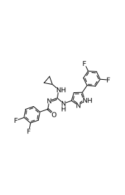 O=C(/N=C(\Nc1cc(-c2cc(F)cc(F)c2)[nH]n1)NC1CC1)c1ccc(F)c(F)c1